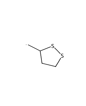 [CH2]C1CCSS1